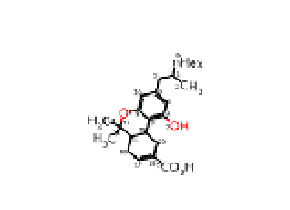 CCCCCCC(C)Cc1cc(O)c2c(c1)OC(C)(C)C1CC=C(C(=O)O)CC21